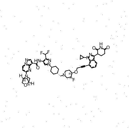 O=C1CCC(c2nn(C3CC3)c3c(C#CCO[C@@H]4CCN(C[C@H]5CC[C@H](n6cc(NC(=O)c7cnn8ccc(N9C[C@H]%10C[C@@H]9CO%10)nc78)c(C(F)F)n6)CC5)C[C@H]4F)cccc23)C(=O)N1